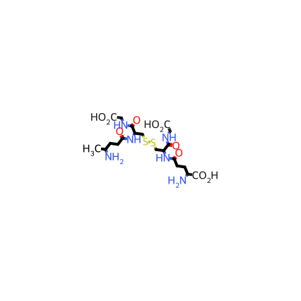 CC(N)CCC(=O)NC(CSSCC(NC(=O)CCC(N)C(=O)O)C(=O)NCC(=O)O)C(=O)NCC(=O)O